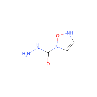 NNC(=O)N1C=CNO1